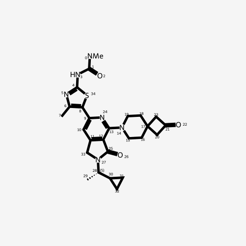 CNC(=O)Nc1nc(C)c(-c2cc3c(c(N4CCC5(CC4)CC(=O)C5)n2)C(=O)N([C@@H](C)C2CC2)C3)s1